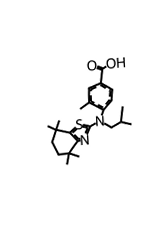 Cc1cc(C(=O)O)ccc1N(CC(C)C)c1nc2c(s1)C(C)(C)CCC2(C)C